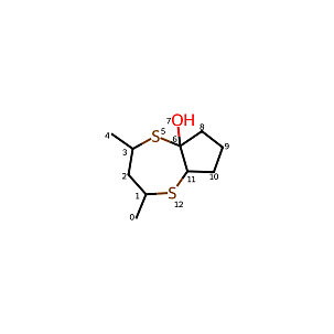 CC1CC(C)SC2(O)CCCC2S1